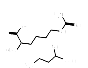 CCCCCCCCCCC(CCCCNC(=N)N)C(N)=O.NC(CCC(=O)O)C(=O)O